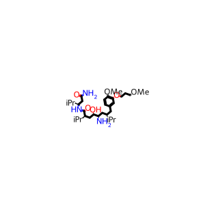 COCCCOc1cc(C[C@@H](C[C@H](N)[C@@H](O)C[C@H](C(=O)N[C@H](CC(N)=O)C(C)C)C(C)C)C(C)C)ccc1OC